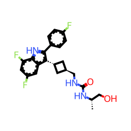 C[C@@H](CO)NC(=O)NC[C@H]1C[C@H](c2c(-c3ccc(F)cc3)[nH]c3c(F)cc(F)cc32)C1